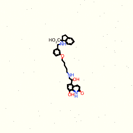 O=C(O)C1(NCc2cccc(OCCCCCNC[C@H](O)c3ccc(O)c4[nH]c(=O)ccc34)c2)CCc2ccccc21